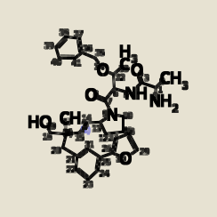 CC(N)C(=O)NC(C(=O)N1CCCC1/C=C/[C@](C)(CO)Cc1cccc(-c2ccco2)c1)C(C)OCc1ccccc1